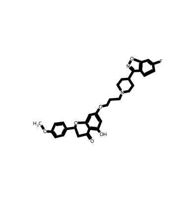 COc1ccc(C2CC(=O)c3c(O)cc(OCCCN4CCC(c5noc6cc(F)ccc56)CC4)cc3O2)cc1